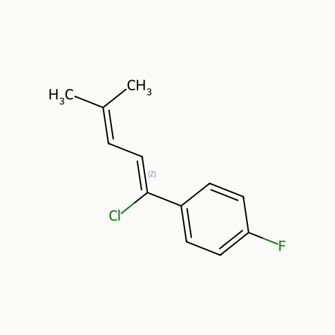 CC(C)=C/C=C(\Cl)c1ccc(F)cc1